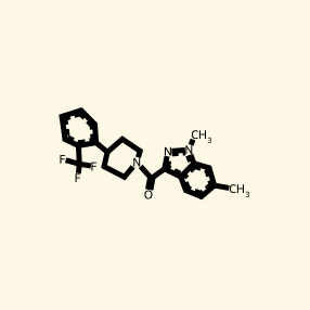 Cc1ccc2c(C(=O)N3CCC(c4ccccc4C(F)(F)F)CC3)nn(C)c2c1